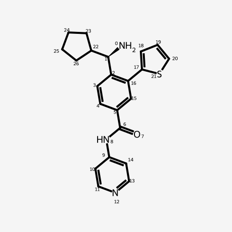 N[C@@H](c1ccc(C(=O)Nc2ccncc2)cc1-c1cccs1)C1CCCC1